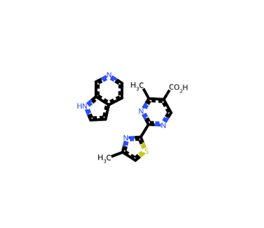 Cc1csc(-c2ncc(C(=O)O)c(C)n2)n1.c1cc2cc[nH]c2cn1